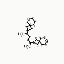 CC(CCC(C)N1CC2(CCCOC2)C1)N1CC2(CCOCC2)C1